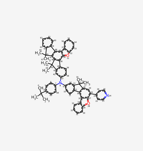 CC(C)(C)c1ccc(N(c2ccc3c(c2)C(C)(C)c2cc(-c4ccncc4)c4oc5ccccc5c4c2-3)c2ccc3c(c2)C(C)(C)c2c4c(c5c(oc6ccccc65)c2-3)-c2ccccc2C4(C)C)cc1